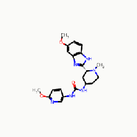 COc1ccc2[nH]c([C@H]3C[C@H](NC(=O)Nc4ccc(OC)nc4)CCN3C)nc2c1